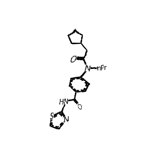 CCCN(C(=O)CC1CCCC1)c1ccc(C(=O)Nc2nccs2)cc1